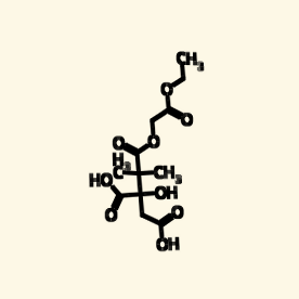 CCOC(=O)COC(=O)C(C)(C)C(O)(CC(=O)O)C(=O)O